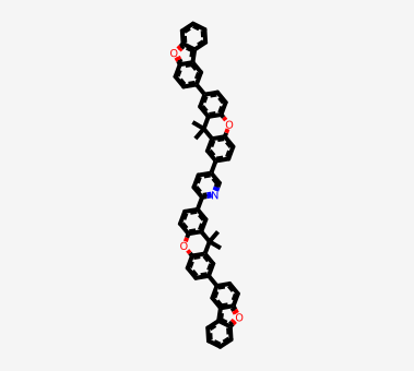 CC1(C)c2cc(-c3ccc(-c4ccc5c(c4)C(C)(C)c4cc(-c6ccc7oc8ccccc8c7c6)ccc4O5)nc3)ccc2Oc2ccc(-c3ccc4oc5ccccc5c4c3)cc21